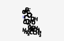 CC(C)(C)[Si](C)(C)OC[C@@H]1CO[C@H](/C=C\c2ccccc2[N+](=O)[O-])CN1C(=O)O